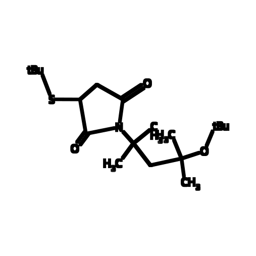 CC(C)(C)OC(C)(C)CC(C)(C)N1C(=O)CC(SC(C)(C)C)C1=O